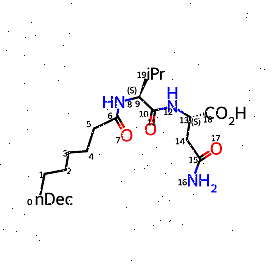 CCCCCCCCCCCCCCCC(=O)N[C@H](C(=O)N[C@@H](CC(N)=O)C(=O)O)C(C)C